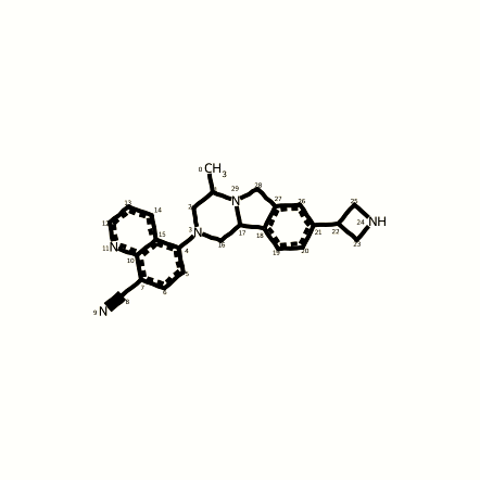 CC1CN(c2ccc(C#N)c3ncccc23)CC2c3ccc(C4CNC4)cc3CN12